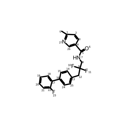 Cc1ccc(C(=O)NCC(F)(F)Cc2ccc(-c3ccccc3F)cc2)cn1